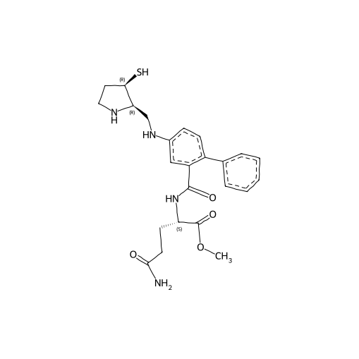 COC(=O)[C@H](CCC(N)=O)NC(=O)c1cc(NC[C@H]2NCC[C@H]2S)ccc1-c1ccccc1